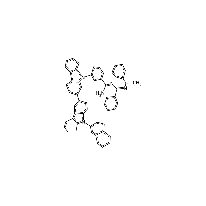 C=C(/N=C(\N=C(/N)c1cccc(-n2c3ccccc3c3ccc(-c4ccc5c(c4)c4c(n5-c5ccc6ccccc6c5)CCC=C4)cc32)c1)c1ccccc1)c1ccccc1